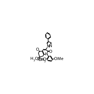 COc1ccc(OC)c(-n2c3c(cc(-n4cc(-c5ccccc5)cn4)c2=O)C(=O)CC(C)(C)C3)c1